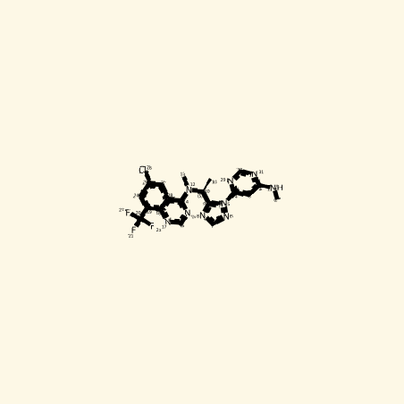 CNc1cc(-n2ncnc2[C@H](C)N(C)c2ncnc3c(C(F)(F)F)cc(Cl)cc23)ncn1